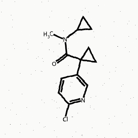 CN(C(=O)C1(c2ccc(Cl)nc2)CC1)C1CC1